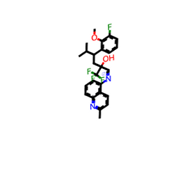 COc1c(F)cccc1C(CC(O)(/C=N\c1cccc2nc(C)ccc12)C(F)(F)F)C(C)C